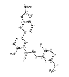 COc1ncc(-c2ccc3nc(NC(C)=O)cn3n2)cc1C(=O)NCc1cc(OC(F)(F)F)ccc1F